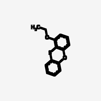 CCOc1cccc2c1Sc1ccccc1O2